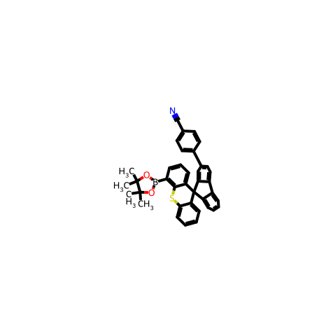 CC1(C)OB(c2cccc3c2Sc2ccccc2C32c3ccccc3-c3ccc(-c4ccc(C#N)cc4)cc32)OC1(C)C